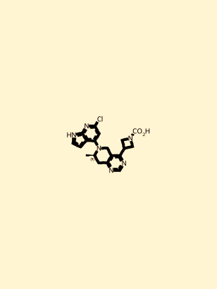 C[C@@H]1Cc2ncnc(C3CN(C(=O)O)C3)c2CN1c1cc(Cl)nc2[nH]ccc12